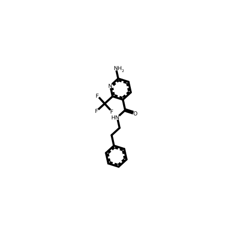 Nc1ccc(C(=O)NCCc2ccccc2)c(C(F)(F)F)n1